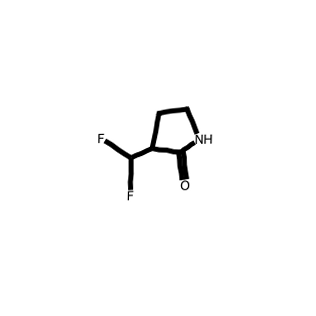 O=C1NCCC1C(F)F